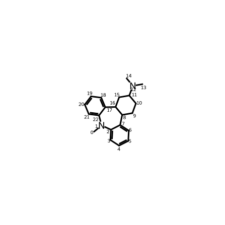 CN1c2ccccc2C2CCC(N(C)C)CC2c2ccccc21